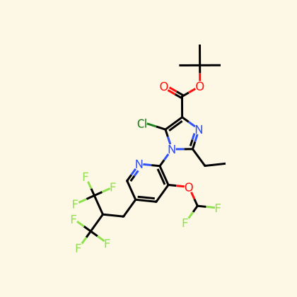 CCc1nc(C(=O)OC(C)(C)C)c(Cl)n1-c1ncc(CC(C(F)(F)F)C(F)(F)F)cc1OC(F)F